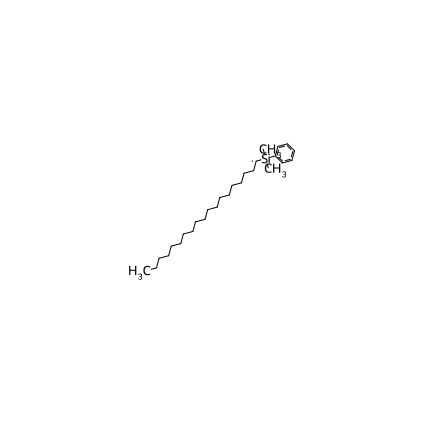 CCCCCCCCCCCCCCCCCC[CH][Si](C)(C)c1ccccc1